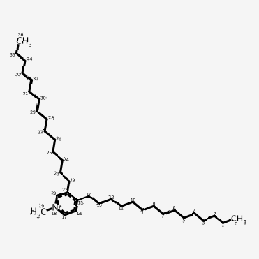 CCCCCCCCCCCCCCCc1cc[n+](C)cc1CCCCCCCCCCCCCCC